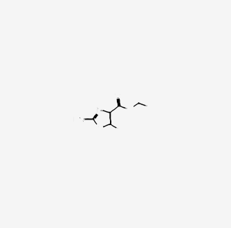 CCOC(=O)C1N=C(N)SC1C